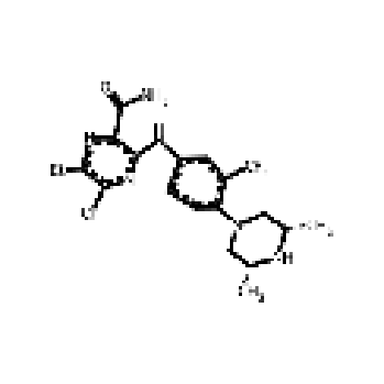 CCc1nc(C(N)=O)c(Nc2ccc(N3C[C@@H](C)N[C@@H](C)C3)c(C(F)(F)F)c2)nc1Cl